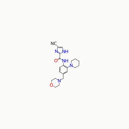 N#Cc1c[nH]c(C(=O)Nc2ccc(CN3CCOCC3)cc2N2CCCCC2)n1